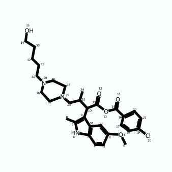 COc1ccc2[nH]c(C)c(C(C(=O)OC(=O)c3ccc(Cl)cc3)C(C)CN3CCN(CCCCCO)CC3)c2c1